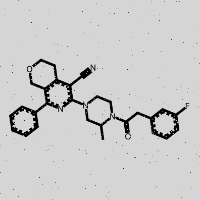 CC1CN(c2nc(-c3ccccc3)c3c(c2C#N)CCOC3)CCN1C(=O)Cc1cccc(F)c1